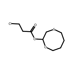 O=C(CCCl)OC1CSCCCCO1